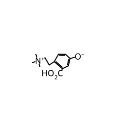 C[N+](C)(C)CCc1ccc([O-])cc1C(=O)O